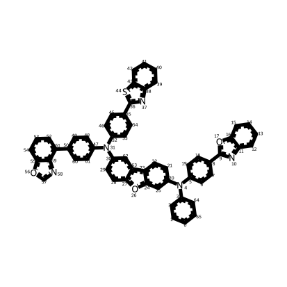 c1ccc(N(c2ccc(-c3nc4ccccc4o3)cc2)c2ccc3c(c2)oc2ccc(N(c4ccc(-c5nc6ccccc6s5)cc4)c4ccc(-c5cccc6ocnc56)cc4)cc23)cc1